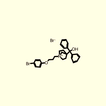 OC(c1ccccc1)(c1ccccc1)C12CC[N+](CCCOc3ccc(Br)cc3)(CC1)C2.[Br-]